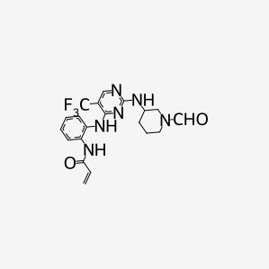 C=CC(=O)Nc1ccccc1Nc1nc(NC2CCCN(C=O)C2)ncc1C(F)(F)F